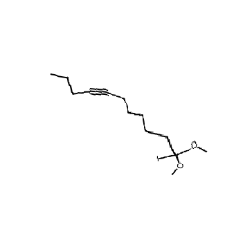 CCCC#CCCCCCC(I)(OC)OC